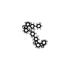 c1ccc(-c2cccc(N(c3ccc(-c4ccc5c(c4)oc4ccc6oc7ccccc7c6c45)cc3)c3cccc4oc5ccccc5c34)c2)cc1